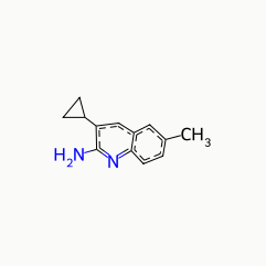 Cc1ccc2nc(N)c(C3CC3)cc2c1